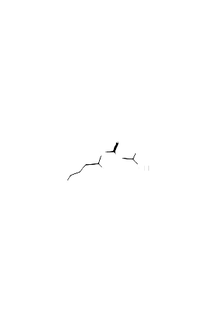 CCCCC(Cl)OC(=O)OC(C)Cl